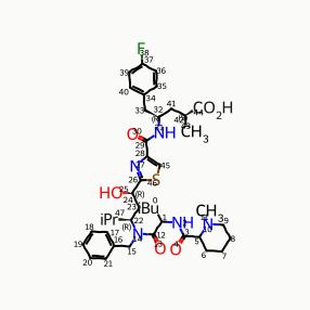 CCC(C)C(NC(=O)C1CCCCN1C)C(=O)N(Cc1ccccc1)[C@H](C[C@@H](O)c1nc(C(=O)N[C@@H](Cc2ccc(F)cc2)C[C@H](C)C(=O)O)cs1)C(C)C